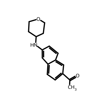 CC(=O)c1ccc2cc(NC3CCOCC3)ccc2c1